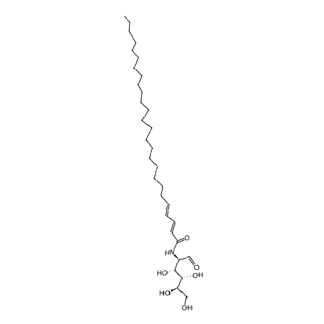 CCCCCCCCCCCCCCCCCCCCCC=CC=CC(=O)N[C@@H](C=O)[C@@H](O)[C@H](O)[C@H](O)CO